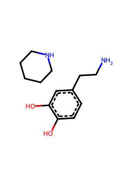 C1CCNCC1.NCCc1ccc(O)c(O)c1